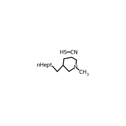 CCCCCCCCC1CCCN(C)C1.N#CS